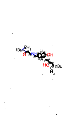 CCCC[C@H](C)C[C@H](O)/C=C/[C@@H]1[C@H]2CC(CNCCC(=O)N(C)C(C)(C)C)=C[C@H]2C[C@H]1O